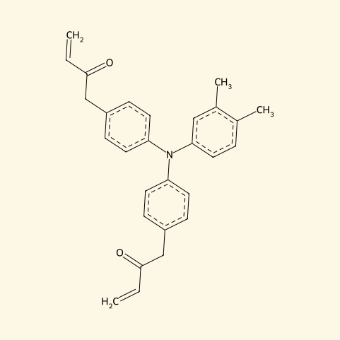 C=CC(=O)Cc1ccc(N(c2ccc(CC(=O)C=C)cc2)c2ccc(C)c(C)c2)cc1